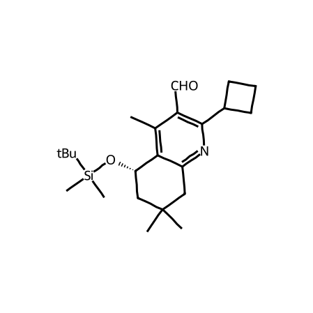 Cc1c(C=O)c(C2CCC2)nc2c1[C@@H](O[Si](C)(C)C(C)(C)C)CC(C)(C)C2